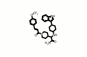 NC(=O)C(NC1CCC(c2c[nH]c3ccccc23)CC1)C1CCN(C(=O)C=Cc2ccc(OC(F)(F)F)cc2)CC1